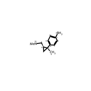 Bc1ccc([C@]2(C)C[C@H]2CNC)cc1